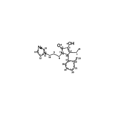 CCC1=C(O)C(=O)N(CCCn2ccnc2)C1c1ccccc1F